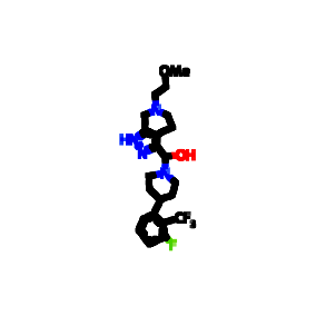 COCCN1CCc2c(C(O)N3CCC(c4cccc(F)c4C(F)(F)F)CC3)n[nH]c2C1